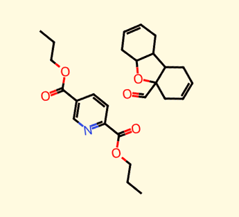 CCCOC(=O)c1ccc(C(=O)OCCC)nc1.O=CC12CC=CCC1C1CC=CCC1O2